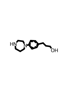 OCCCc1ccc(N2CCCNCC2)cc1